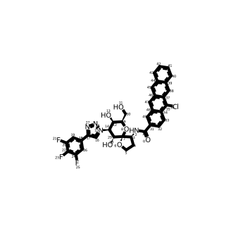 O=C(N[C@@H]1CCO[C@]12O[C@H](CO)[C@H](O)[C@H](n1cc(-c3cc(F)c(F)c(F)c3)nn1)[C@H]2O)c1ccc2c(Cl)c3cc4ccccc4cc3cc2c1